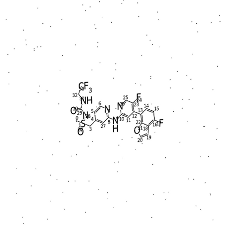 CS(=O)(Cc1ccnc(Nc2cc(-c3ccc(F)c4ccoc34)c(F)cn2)c1)=NC(=O)NCC(F)(F)F